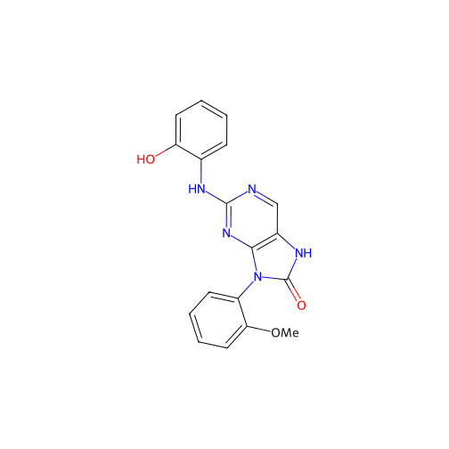 COc1ccccc1-n1c(=O)[nH]c2cnc(Nc3ccccc3O)nc21